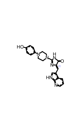 O=C1NC(N2CCN(c3ccc(O)cc3)CC2)=N/C1=C\c1c[nH]c2ncccc12